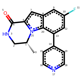 C[C@@H]1CNC(=O)c2cc3cc(F)cc(-c4ccncc4)c3n21